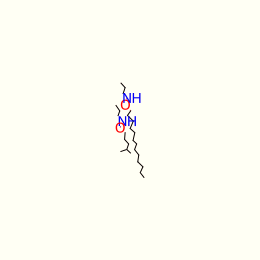 CCCCCCCCCCCCCONCCC.CCCNOCCCC(C)C